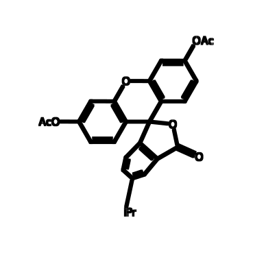 CC(=O)Oc1ccc2c(c1)Oc1cc(OC(C)=O)ccc1C21OC(=O)c2cc(C(C)C)ccc21